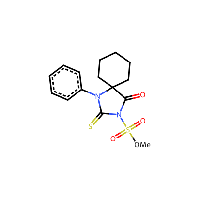 COS(=O)(=O)N1C(=O)C2(CCCCC2)N(c2ccccc2)C1=S